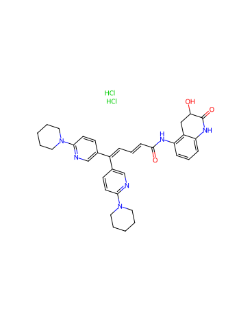 Cl.Cl.O=C(/C=C/C=C(c1ccc(N2CCCCC2)nc1)c1ccc(N2CCCCC2)nc1)Nc1cccc2c1CC(O)C(=O)N2